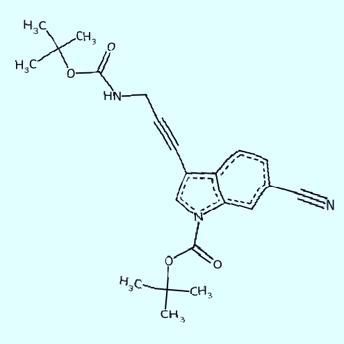 CC(C)(C)OC(=O)NCC#Cc1cn(C(=O)OC(C)(C)C)c2cc(C#N)ccc12